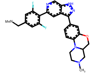 CNCc1cc(F)c(-c2cc3c(-c4ccc5c(c4)OCC4CN(C)CCN54)n[nH]c3cn2)c(F)c1